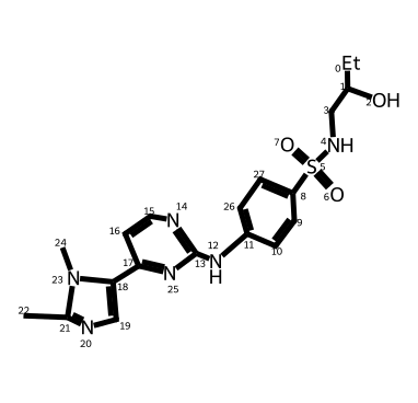 CCC(O)CNS(=O)(=O)c1ccc(Nc2nccc(-c3cnc(C)n3C)n2)cc1